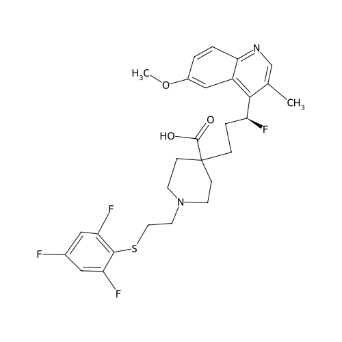 COc1ccc2ncc(C)c([C@@H](F)CCC3(C(=O)O)CCN(CCSc4c(F)cc(F)cc4F)CC3)c2c1